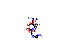 CC[C@H]1OC(=O)[C@H](C)C(=O)[C@H](C)[C@@H](OCC(O)CN(C)C)[C@](C)(OC)C[C@@H](C)CN[C@H](C)[C@H]2N(CCCCn3cc(-c4cccc(N)c4)nn3)C(=O)O[C@]12C